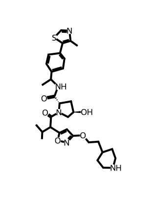 Cc1ncsc1-c1ccc(C(C)NC(=O)[C@@H]2C[C@@H](O)CN2C(=O)C(c2cc(OCCC3CCNCC3)no2)C(C)C)cc1